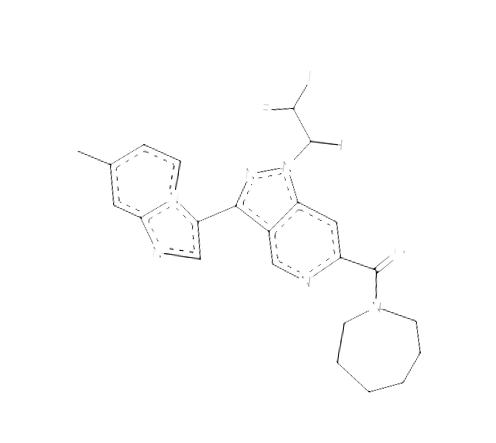 O=C(c1cc2c(cn1)c(-c1cnc3cc(F)ccn13)nn2C(F)C(F)F)N1CCCCCC1